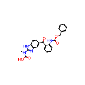 CN(C(=O)O)c1nc2cc(C(=O)c3ccccc3NC(=O)OCc3ccccc3)ccc2[nH]1